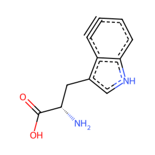 N[C@@H](Cc1c[nH]c2ccc#cc12)C(=O)O